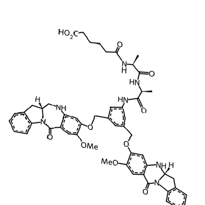 COc1cc2c(cc1OCc1cc(COc3cc4c(cc3OC)C(=O)N3c5ccccc5C[C@H]3N4)cc(NC(=O)[C@H](C)NC(=O)[C@H](C)NC(=O)CCCCC(=O)O)c1)NC[C@H]1Cc3ccccc3N1C2=O